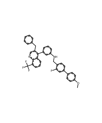 COc1ccc(-c2ccc(CNc3cccc(-c4c(Cc5ccccc5)cnc5c(C(F)(F)F)cccc45)c3)c(F)c2)cc1